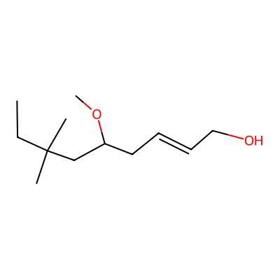 CCC(C)(C)CC(C/C=C/CO)OC